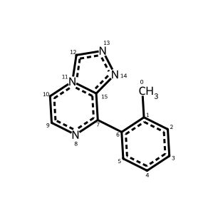 Cc1ccccc1-c1nccn2cnnc12